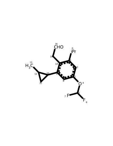 CC(C)c1cc(OC(F)F)cc(C2CC2C)c1CC=O